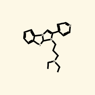 CCN(CC)CCCN1C(c2ccncc2)=CN2c3ccccc3SC12